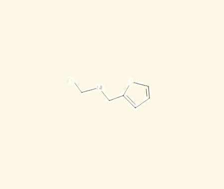 CC(C)CNCc1cccs1